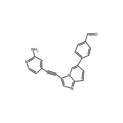 Nc1cc(C#Cc2cnc3ccc(-c4ccc(C=O)cc4)cn23)ccn1